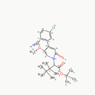 BC(B)(B)C(B)(B)C(C(=O)OC(C)(C)C)n1cc(OC)c(-c2cc(Cl)ccc2C#N)cc1=O